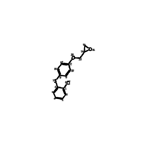 Clc1ccccc1Sc1ccc(OCC2CO2)cc1